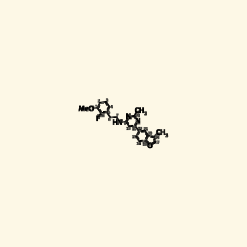 COc1cccc(CCNc2cc(-c3ccc4occ(C)c4c3)nc(C)n2)c1F